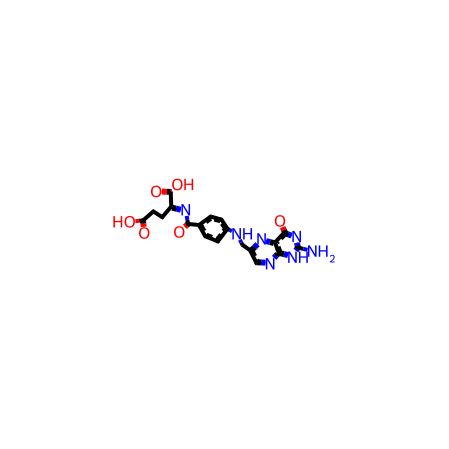 Nc1nc(=O)c2nc(CNc3ccc(C(=O)/N=C(\CCC(=O)O)C(=O)O)cc3)cnc2[nH]1